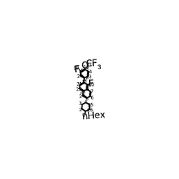 CCCCCC[C@H]1CC[C@H](c2ccc3c(F)c(-c4ccc(OC(F)(F)F)c(F)c4)ccc3c2)CC1